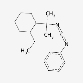 CCC1CCCCC1C(C)(C)N=C=Nc1ccccc1